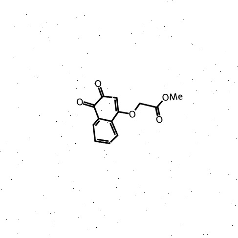 COC(=O)COC1=CC(=O)C(=O)c2ccccc21